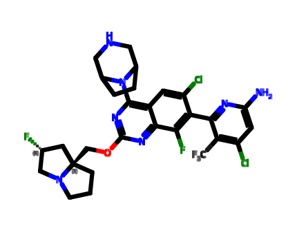 Nc1cc(Cl)c(C(F)(F)F)c(-c2c(Cl)cc3c(N4C5CCC4CNC5)nc(OC[C@@]45CCCN4C[C@H](F)C5)nc3c2F)n1